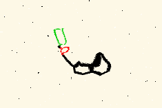 ClCOCc1ccc2ccccc2c1